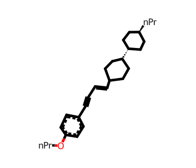 CCCOc1ccc(C#C/C=C/C2CCC([C@H]3CC[C@H](CCC)CC3)CC2)cc1